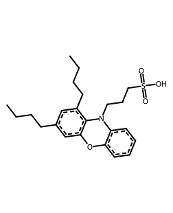 CCCCc1cc(CCCC)c2c(c1)Oc1ccccc1N2CCCS(=O)(=O)O